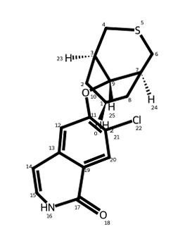 N[C@H]1C[C@H]2CSC[C@@H](C1)[C@@H]2Oc1cc2cc[nH]c(=O)c2cc1Cl